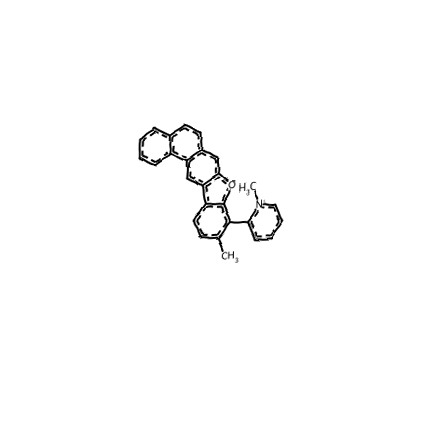 Cc1ccc2c(oc3cc4ccc5ccccc5c4cc32)c1-c1cccc[n+]1C